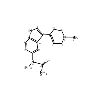 CCC(C)N1CC=C(c2c[nH]c3ccc(N(C(N)=S)C(C)C)cc23)CC1